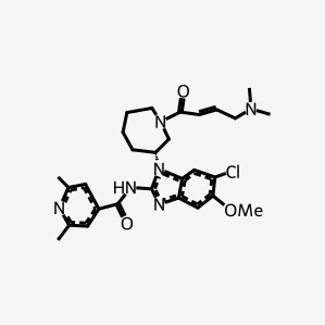 COc1cc2nc(NC(=O)c3cc(C)nc(C)c3)n([C@@H]3CCCCN(C(=O)C=CCN(C)C)C3)c2cc1Cl